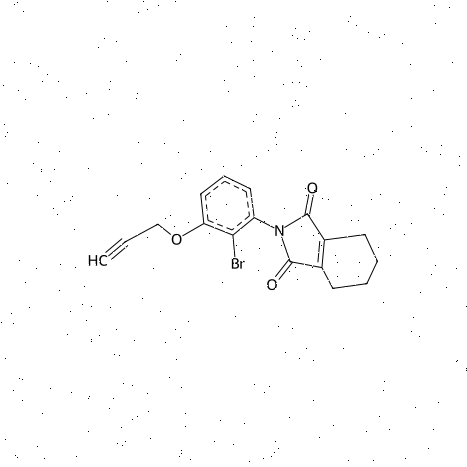 C#CCOc1cccc(N2C(=O)C3=C(CCCC3)C2=O)c1Br